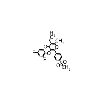 CCc1c(C)oc(-c2ccc(S(C)(=O)=O)cc2)c(Oc2ccc(F)cc2F)c1=O